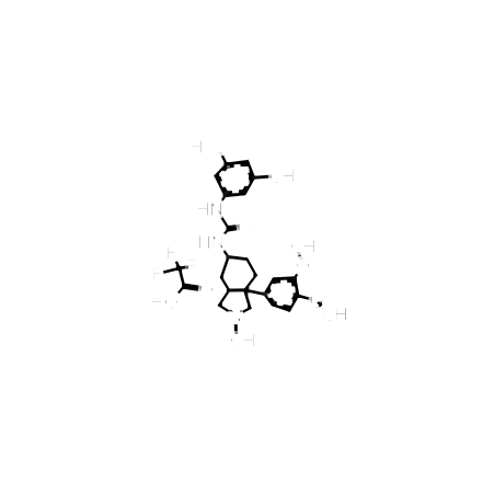 COc1ccc(C23CCC(NC(=O)Nc4cc(C)cc(C)c4)CC2CN(C)C3)cc1OC.O=C(O)C(F)(F)F